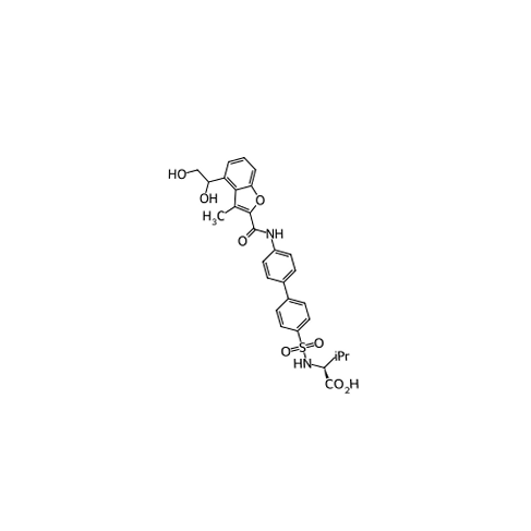 Cc1c(C(=O)Nc2ccc(-c3ccc(S(=O)(=O)N[C@H](C(=O)O)C(C)C)cc3)cc2)oc2cccc(C(O)CO)c12